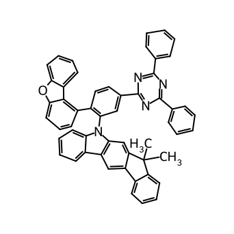 CC1(C)c2ccccc2-c2cc3c4ccccc4n(-c4cc(-c5nc(-c6ccccc6)nc(-c6ccccc6)n5)ccc4-c4cccc5oc6ccccc6c45)c3cc21